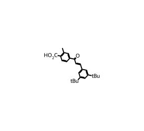 Cc1cc(C(=O)/C=C/c2cc(C(C)(C)C)cc(C(C)(C)C)c2)ccc1C(=O)O